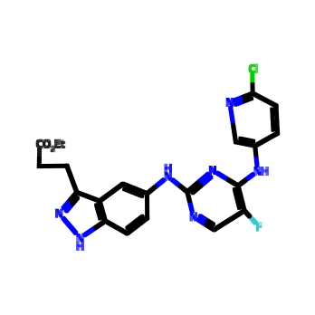 CCOC(=O)CCc1n[nH]c2ccc(Nc3ncc(F)c(Nc4ccc(Cl)nc4)n3)cc12